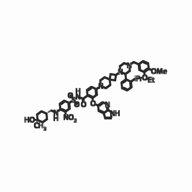 CCOc1cc(CN2CCN(C3CC4(CCN(c5ccc(C(=O)NS(=O)(=O)c6ccc(NC[C@H]7CC[C@](C)(O)CC7)c([N+](=O)[O-])c6)c(Oc6cnc7[nH]ccc7c6)c5)CC4)C3)C(c3ccccc3C(C)C)C2)ccc1OC